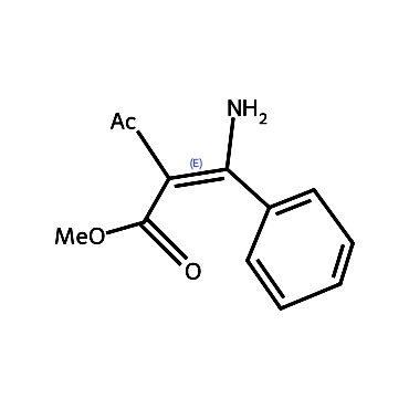 COC(=O)/C(C(C)=O)=C(/N)c1ccccc1